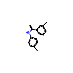 C=C(Nc1ccc(C)cc1)c1cccc(C)c1